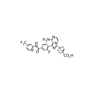 Nc1nccn2c(C34CCC(C(=O)O)=C(C3)C4)nc(-c3ccc(C(=O)Nc4cc(C(F)(F)F)ccn4)cc3F)c12